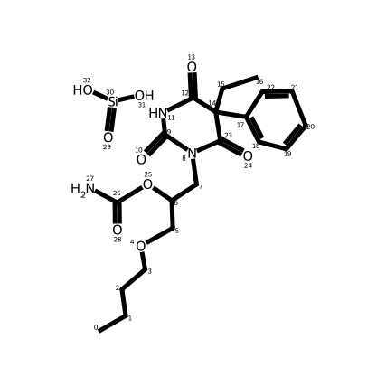 CCCCOCC(CN1C(=O)NC(=O)C(CC)(c2ccccc2)C1=O)OC(N)=O.O=[Si](O)O